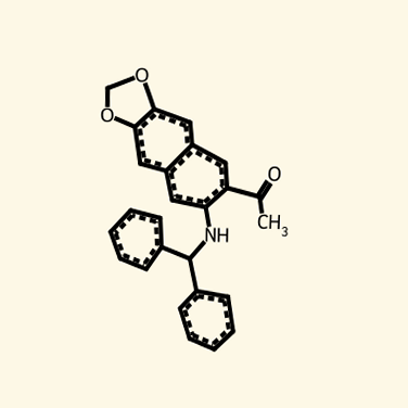 CC(=O)c1cc2cc3c(cc2cc1NC(c1ccccc1)c1ccccc1)OCO3